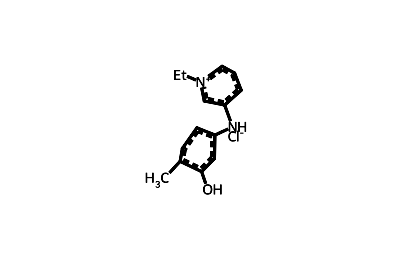 CC[n+]1cccc(Nc2ccc(C)c(O)c2)c1.[Cl-]